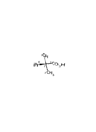 CC(C)[C@@](C)(O)C(=O)O